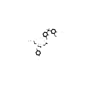 CC[C@H](C)[C@H](N)C(=O)N[C@@H](Cc1ccc(OC(C)(C)C)cc1)C(=O)N[C@@H](C)C(=O)NCc1c(OC)ccc2c1Oc1c(ccc(OC)c1CC(=O)O)C2(C)C